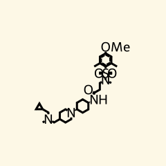 COc1cc(C)c(S(=O)(=O)N(C)CCC(=O)N[C@H]2CC[C@H](N3CCC(CN(C)CC4CC4)CC3)CC2)c(C)c1